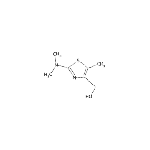 Cc1sc(N(C)C)nc1CO